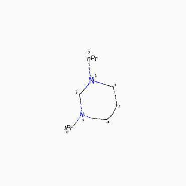 CCCN1CCCN(C(C)C)C1